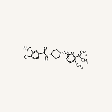 Cc1cc(C(=O)N[C@H]2CC[C@@H](Nc3ncc(C)c(N(C)C)n3)CC2)ccc1Cl